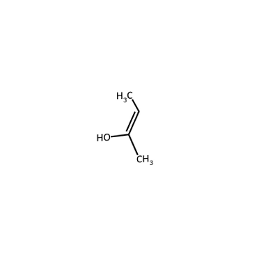 C/C=C(/C)O